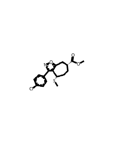 COC(=O)[C@@H]1CC[C@H](SC)c2c(-c3ccc(Cl)cc3)noc2C1